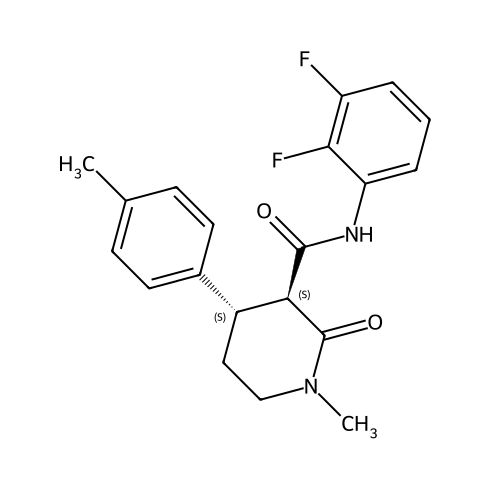 Cc1ccc([C@H]2CCN(C)C(=O)[C@@H]2C(=O)Nc2cccc(F)c2F)cc1